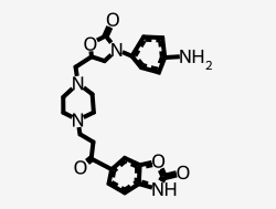 Nc1ccc(N2CC(CN3CCN(CCC(=O)c4ccc5[nH]c(=O)oc5c4)CC3)OC2=O)cc1